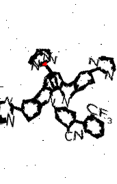 N#Cc1cc(-n2c3ccc(-c4ncccn4)cc3c3cc(-c4ncccn4)ccc32)c(-n2c3ccc(-c4ncccn4)cc3c3cc(-c4ncccn4)ccc32)cc1-c1ccccc1C(F)(F)F